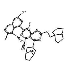 C#Cc1c(F)ccc2cc(O)cc(-c3nc(C#C)c4c(N5CC6CCC(C5)N6)nc(OCC56CCCN5CCC6)nc4c3F)c12